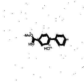 COC(=N)c1ccc(-c2ccccc2)cc1.Cl